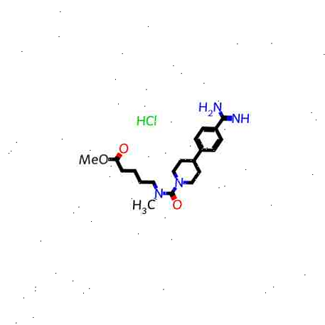 COC(=O)CCCCN(C)C(=O)N1CCC(c2ccc(C(=N)N)cc2)CC1.Cl